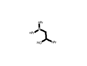 CCCC(O)CN(CCC)CCC